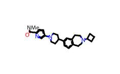 CNC(=O)c1ccc(N2CCC(c3ccc4c(c3)CCN(C3CCC3)CC4)CC2)cn1